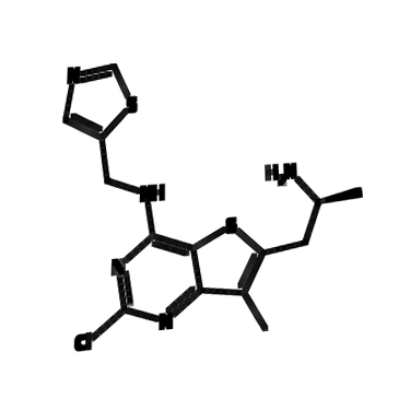 Cc1c(C[C@H](C)N)sc2c(NCc3cncs3)nc(Cl)nc12